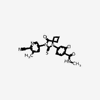 CNC(=O)c1ccc(N2C(=S)N(c3cnc(C#N)c(C)c3)C(=O)C23CCC3)cc1Cl